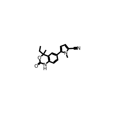 CCC1(C)OC(=O)Nc2ccc(-c3ccc(C#N)n3C)cc21